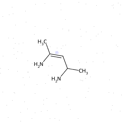 C/C(N)=C/C(C)N